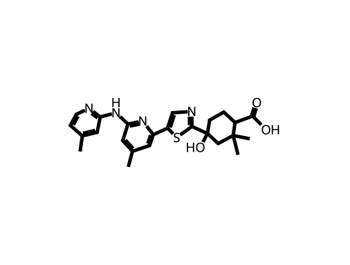 Cc1ccnc(Nc2cc(C)cc(-c3cnc(C4(O)CCC(C(=O)O)C(C)(C)C4)s3)n2)c1